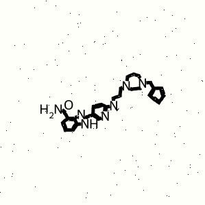 CN(CCCN1CCCN(Cc2ccccc2)CC1)c1ccc(-c2nc3c(C(N)=O)cccc3[nH]2)cn1